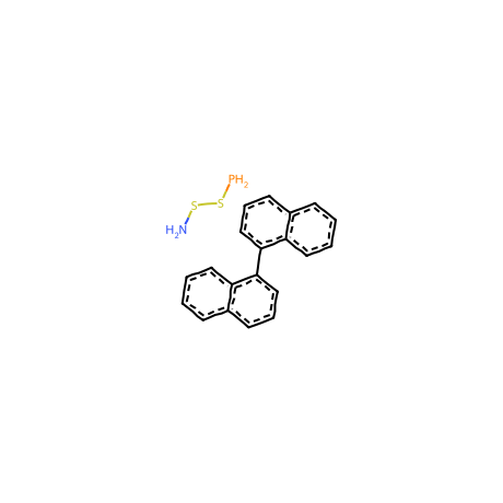 NSSP.c1ccc2c(-c3cccc4ccccc34)cccc2c1